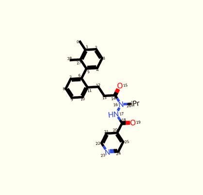 Cc1cccc(-c2ccccc2CCC(=O)N(NC(=O)c2ccncc2)C(C)C)c1C